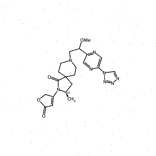 COC(CN1CCC2(CC1)C[C@@H](C)N(C1=CC(=O)OC1)C2=O)c1cnc(-n2cnnn2)cn1